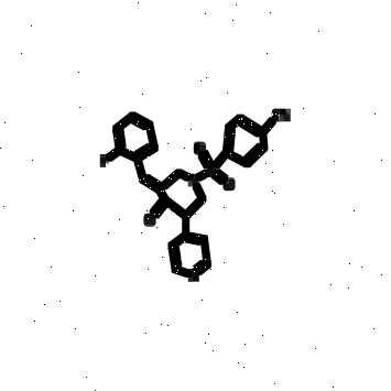 N#Cc1ccc(S(=O)(=O)N2CC(=Cc3ccccc3F)C(=O)C(c3ccncc3)C2)cc1